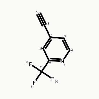 C#Cc1ccnc(C(F)(F)F)c1